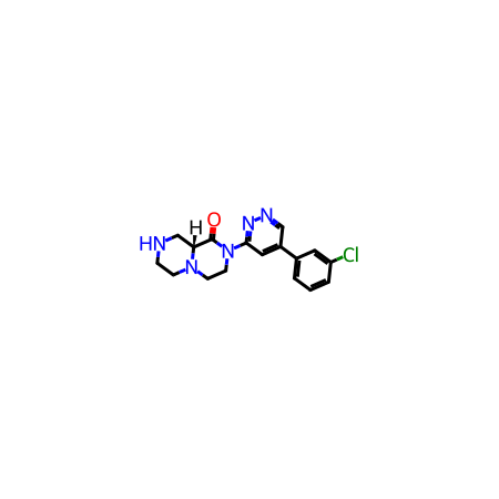 O=C1[C@H]2CNCCN2CCN1c1cc(-c2cccc(Cl)c2)cnn1